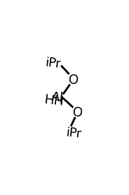 CC(C)[O][Al][O]C(C)C.[HH]